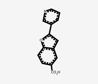 O=C(O)c1ccc2oc(-c3cccnc3)cc2c1